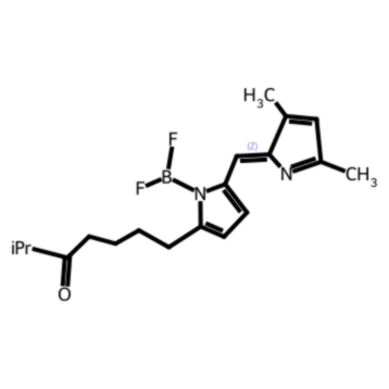 CC1=CC(C)=N/C1=C\c1ccc(CCCCC(=O)C(C)C)n1B(F)F